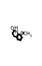 COc1[c]ccc2c1NC(=O)CC2